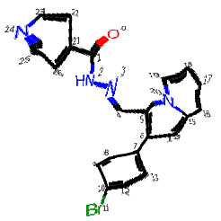 O=C(NN=Cc1c(-c2ccc(Br)cc2)cc2ccccn12)c1ccncc1